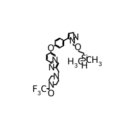 C[SiH](C)CCOCn1nccc1-c1ccc(Oc2ccc3nc(CN4CCN(C(=O)C(F)(F)F)CC4)cn3c2)cc1